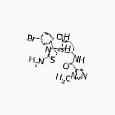 Cn1cncc1C(=O)NC1CC[C@@H]2Oc3ccc(Br)cc3C3(CSC(N)=N3)[C@H]2C1